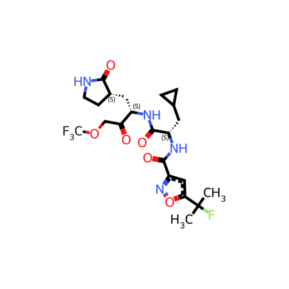 CC(C)(F)c1cc(C(=O)N[C@@H](CC2CC2)C(=O)N[C@@H](C[C@@H]2CCNC2=O)C(=O)COC(F)(F)F)no1